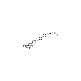 C/C=C/CCC1CCC(c2ccc(CCC3CCC(c4ccc(OCC)c(F)c4F)CC3)cc2)CC1